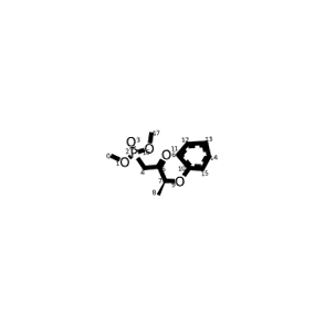 COP(=O)(CC(=O)[C@H](C)Oc1ccccc1)OC